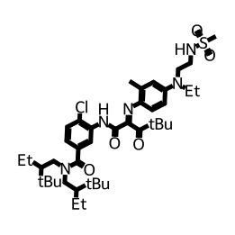 CCC(CN(CC(CC)C(C)(C)C)C(=O)c1ccc(Cl)c(NC(=O)C(=Nc2ccc(N(CC)CCNS(C)(=O)=O)cc2C)C(=O)C(C)(C)C)c1)C(C)(C)C